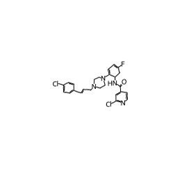 O=C(NC1CC(F)=CC=C1N1CCN(C/C=C/c2ccc(Cl)cc2)CC1)c1ccnc(Cl)c1